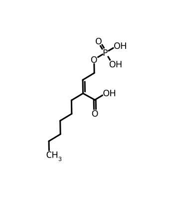 CCCCCCC(=CCOP(=O)(O)O)C(=O)O